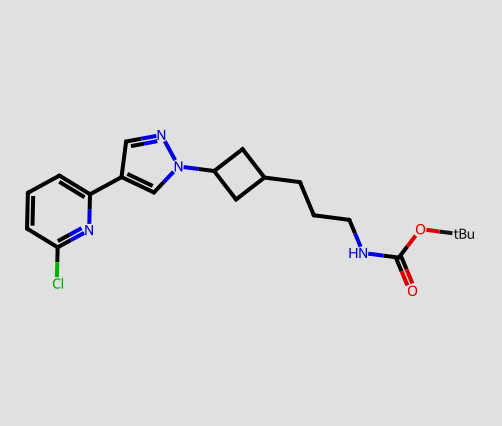 CC(C)(C)OC(=O)NCCCC1CC(n2cc(-c3cccc(Cl)n3)cn2)C1